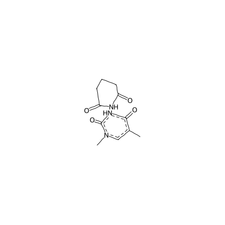 Cc1cn(C)c(=O)[nH]c1=O.O=C1CCCC(=O)N1